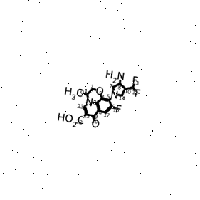 CC1COc2c(N3CC(N)C(C(F)F)C3)c(F)cc3c(=O)c(C(=O)O)cn1c23